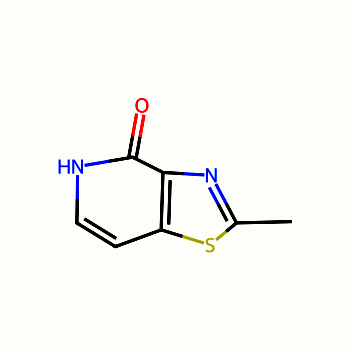 Cc1nc2c(=O)[nH]ccc2s1